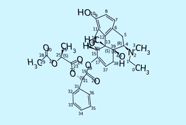 CCN(C)[C@@H]1Cc2ccc(O)c3c2[C@@]2(C)[C@@H](O3)C(OC(=O)[C@@H](OC(=O)[C@H](C)OC(C)=O)c3ccccc3)=CC[C@@]12O